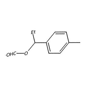 CCC(O[C]=O)c1ccc(C)cc1